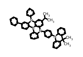 CC(C)c1cc2c3c(c1)N(c1ccccc1)c1cc(-c4ccccc4)ccc1B3c1ccccc1N2c1ccc(N2c3ccccc3C(C)(C)c3ccccc32)cc1